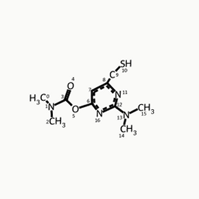 CN(C)C(=O)Oc1cc(CS)nc(N(C)C)n1